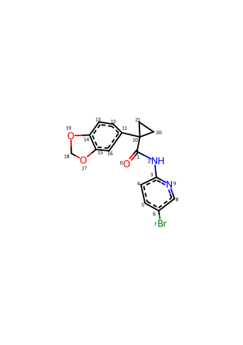 O=C(Nc1ccc(Br)cn1)C1(c2ccc3c(c2)OCO3)CC1